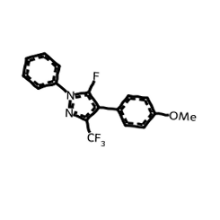 COc1ccc(-c2c(C(F)(F)F)nn(-c3ccccc3)c2F)cc1